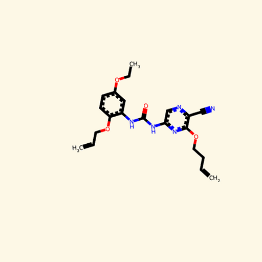 C=CCCOc1nc(NC(=O)Nc2cc(OCC)ccc2OCC=C)cnc1C#N